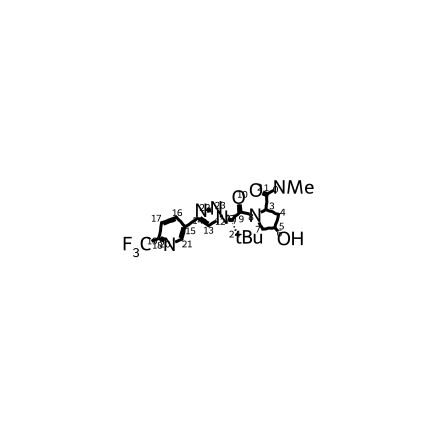 CNC(=O)C1CC(O)CN1C(=O)[C@@H](n1cc(-c2ccc(C(F)(F)F)nc2)nn1)C(C)(C)C